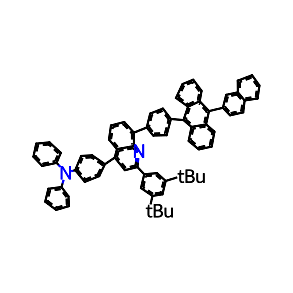 CC(C)(C)c1cc(-c2cc(-c3ccc(N(c4ccccc4)c4ccccc4)cc3)c3cccc(-c4ccc(-c5c6ccccc6c(-c6ccc7ccccc7c6)c6ccccc56)cc4)c3n2)cc(C(C)(C)C)c1